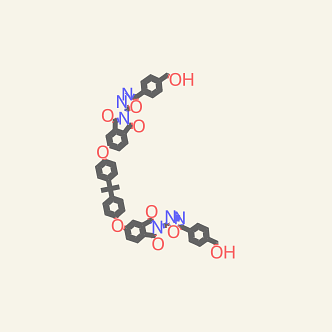 CC(C)(c1ccc(Oc2ccc3c(c2)C(=O)N(c2nnc(-c4ccc(CO)cc4)o2)C3=O)cc1)c1ccc(Oc2ccc3c(c2)C(=O)N(c2nnc(-c4ccc(CO)cc4)o2)C3=O)cc1